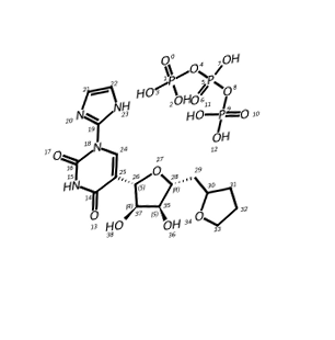 O=P(O)(O)OP(=O)(O)OP(=O)(O)O.O=c1[nH]c(=O)n(-c2ncc[nH]2)cc1[C@@H]1O[C@H](CC2CCCO2)[C@@H](O)[C@H]1O